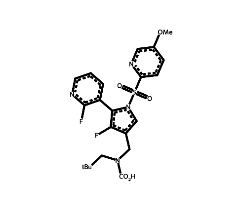 COc1ccc(S(=O)(=O)n2cc(CN(CC(C)(C)C)C(=O)O)c(F)c2-c2cccnc2F)nc1